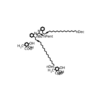 CCCCCC#CC(=Nc1ccccc1CCC#CCCCCCCCCCCCCCCCCCCCCCCCCC)C(CCCC)=Nc1ccccc1CCC#CCCCCCCCCCCCCCCCCCCCCCCCCC.Cc1ccc(O)c(O)c1C(=O)[O-].Cc1ccc(O)c(O)c1C(=O)[O-].[Ni+2]